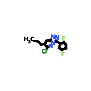 CCCCc1cc2nnc(-c3cc(F)ccc3F)n2nc1Cl